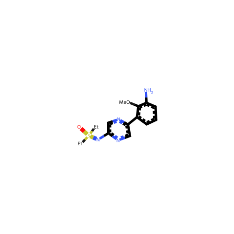 CCS(=O)(CC)=Nc1cnc(-c2cccc(N)c2OC)cn1